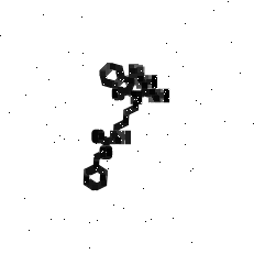 CC[C@]1(c2ccccc2)NC(=N)N(CCCCNC(=O)OCc2ccccc2)C1=O